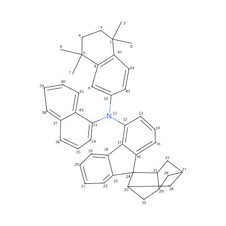 CC1(C)CCC(C)(C)c2cc(N(c3cccc4c3-c3ccccc3C43C4CC5CC(C4)C3C5)c3cccc4ccccc34)ccc21